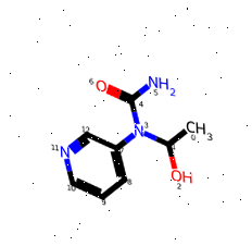 CC(O)N(C(N)=O)c1cccnc1